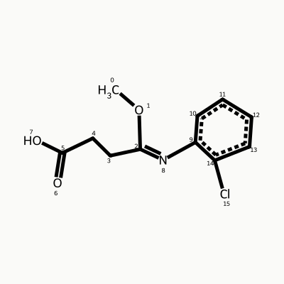 COC(CCC(=O)O)=Nc1ccccc1Cl